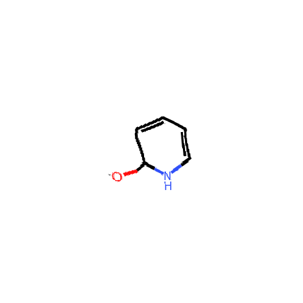 [O]C1C=CC=CN1